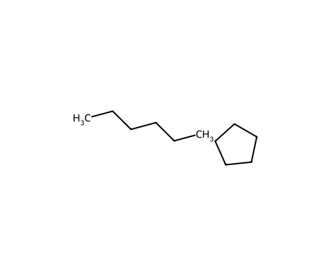 C1CCCC1.CCCCCC